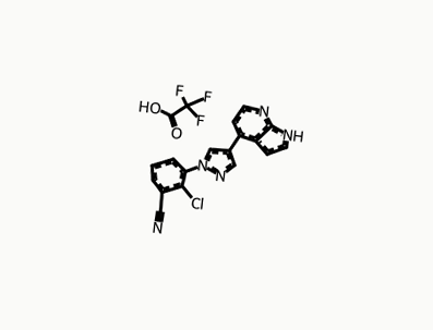 N#Cc1cccc(-n2cc(-c3ccnc4[nH]ccc34)cn2)c1Cl.O=C(O)C(F)(F)F